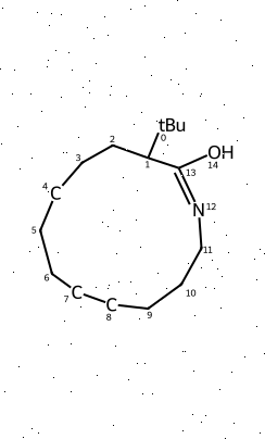 CC(C)(C)C1CCCCCCCCCC/N=C\1O